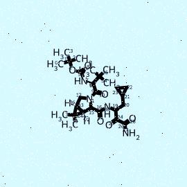 CC(C)(C)OC(=O)N[C@H](C(=O)N1C[C@H]2[C@@H](C1C(=O)NC(CC1CC1)C(=O)C(N)=O)C2(C)C)C(C)(C)C